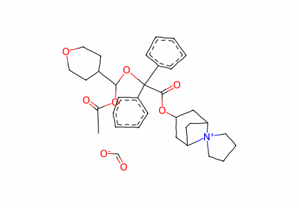 CC(=O)OC(OC(C(=O)OC1CC2CCC(C1)[N+]21CCCC1)(c1ccccc1)c1ccccc1)C1CCOCC1.O=C[O-]